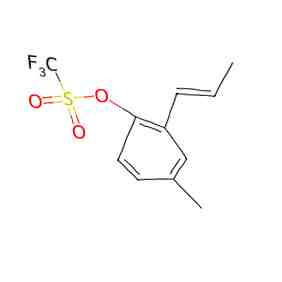 CC=Cc1cc(C)ccc1OS(=O)(=O)C(F)(F)F